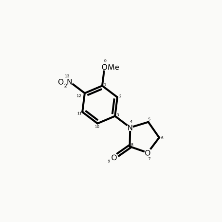 COc1cc(N2CCOC2=O)ccc1[N+](=O)[O-]